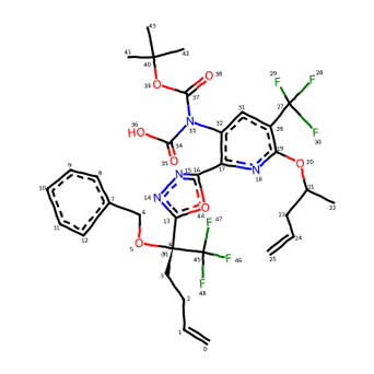 C=CCC[C@@](OCc1ccccc1)(c1nnc(-c2nc(OC(C)CC=C)c(C(F)(F)F)cc2N(C(=O)O)C(=O)OC(C)(C)C)o1)C(F)(F)F